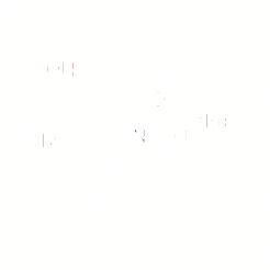 CC(C)(C)OC(=O)N(c1ccccc1)c1ccc(CO)c(Br)c1